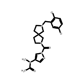 CC(=O)N(C)c1cnn(C(=O)N2CCC3(CCN(Cc4cc(Cl)ccc4Cl)C3)C2)c1